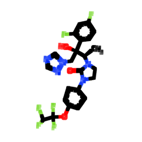 C[C@@H](N1CCN(c2ccc(OC(F)(F)C(F)F)cc2)C1=O)[C@](O)(Cn1cncn1)c1ccc(F)cc1F